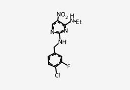 [CH2]CNc1nc(NCc2ccc(Cl)c(F)c2)ncc1[N+](=O)[O-]